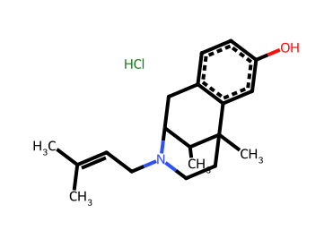 CC(C)=CCN1CCC2(C)c3cc(O)ccc3CC1C2C.Cl